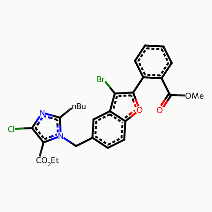 CCCCc1nc(Cl)c(C(=O)OCC)n1Cc1ccc2oc(-c3ccccc3C(=O)OC)c(Br)c2c1